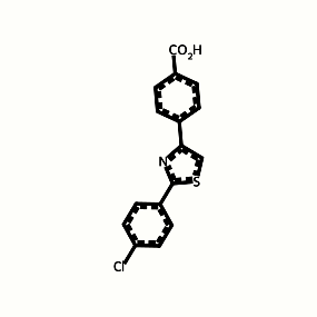 O=C(O)c1ccc(-c2csc(-c3ccc(Cl)cc3)n2)cc1